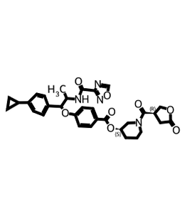 CC(NC(=O)c1ncon1)C(Oc1ccc(C(=O)O[C@H]2CCCN(C(=O)[C@H]3COC(=O)C3)C2)cc1)c1ccc(C2CC2)cc1